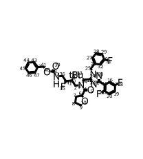 CC[C@@H](CN(C(=O)C1CCCO1)[C@@H](c1nc(-c2cc(F)ccc2F)nn1Cc1cccc(F)c1)C(C)(C)C)[C@@H](F)CNC(=O)OCc1ccccc1